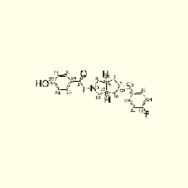 O=C(CN1C[C@H]2C[C@H](Sc3ccc(F)cc3)C[C@H]2C1)c1ccc(O)cc1